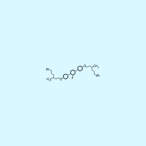 CC(C)CCCC(C)CCOc1ccc(-c2ccc(-c3ccc(OCCC(C)CCCC(C)C)cc3)c(F)c2)cc1